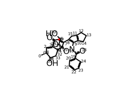 C[C@H]1C=C2C(=O)C=C3C4=C(C5=C(CCC5)C4)N(C(=O)c4ccccc4)O[C@]3(C(=O)CO)[C@@]2(C)C[C@@H]1O